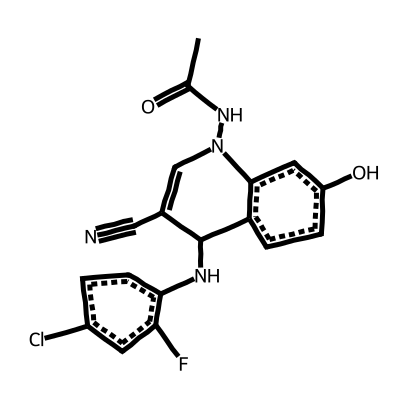 CC(=O)NN1C=C(C#N)C(Nc2ccc(Cl)cc2F)c2ccc(O)cc21